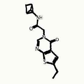 CCc1cc2c(=O)n(CC(=O)NC3C4CC3C4)cnc2s1